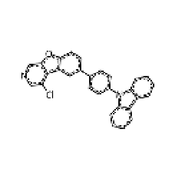 Clc1cncc2oc3ccc(-c4ccc(-n5c6ccccc6c6ccccc65)cc4)cc3c12